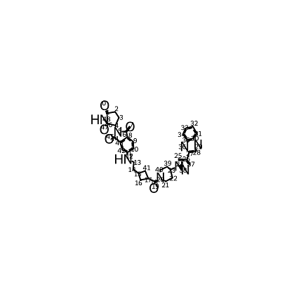 O=C1CCC(N2C(=O)c3ccc(NCCC4CC(C(=O)N5CCC(n6cc(-c7cnc8ccccc8n7)cn6)CC5)C4)cc3C2=O)C(=O)N1